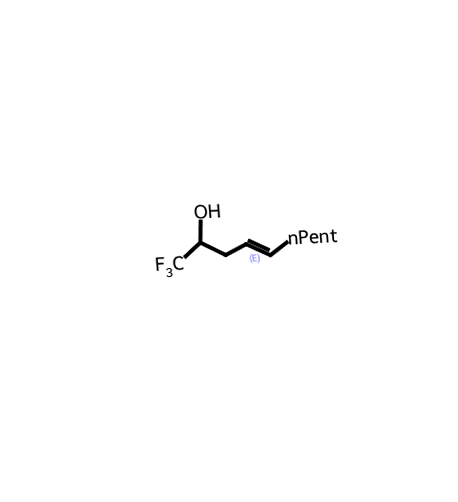 CCCCC/C=C/CC(O)C(F)(F)F